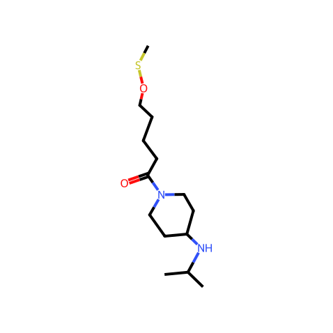 CSOCCCCC(=O)N1CCC(NC(C)C)CC1